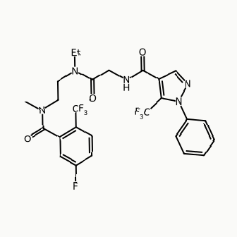 CCN(CCN(C)C(=O)c1cc(F)ccc1C(F)(F)F)C(=O)CNC(=O)c1cnn(-c2ccccc2)c1C(F)(F)F